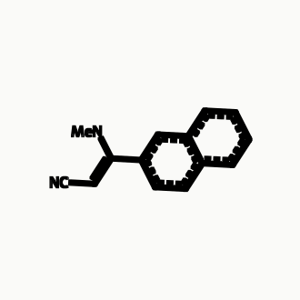 CN/C(=C\C#N)c1ccc2ccccc2c1